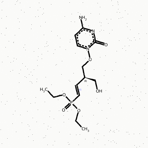 CCOP(=O)(/C=C/[C@H](CO)COn1ccc(N)nc1=O)OCC